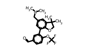 CN(C)Cc1cc(-c2cc(C=O)ccc2OC(F)(F)F)c2c(c1)C(C)(C)CO2